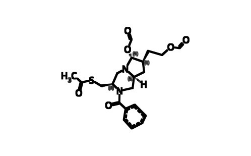 CC(=O)SC[C@H]1CN2[C@@H](C[C@H](CCOC=O)[C@H]2OC=O)CN1C(=O)c1ccccc1